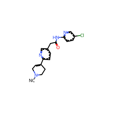 N#CN1CC=C(c2ccc(CC(=O)Nc3ccc(Cl)cn3)cn2)CC1